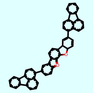 C1=CC2Oc3c(ccc4c3oc3ccc(-c5ccc6c7c(cccc57)-c5ccccc5-6)cc34)C2C=C1c1ccc2c3c(cccc13)-c1ccccc1-2